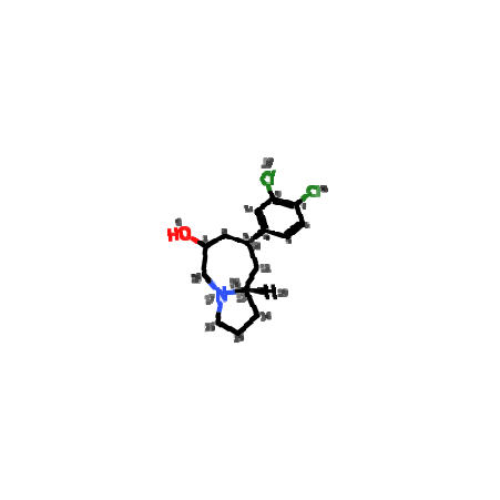 OC1C[C@@H](c2ccc(Cl)c(Cl)c2)C[C@@H]2CCCN2C1